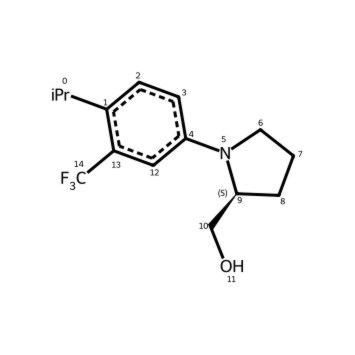 CC(C)c1ccc(N2CCC[C@H]2CO)cc1C(F)(F)F